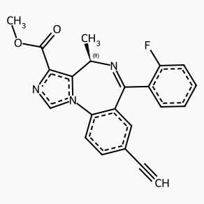 C#Cc1ccc2c(c1)C(c1ccccc1F)=N[C@H](C)c1c(C(=O)OC)ncn1-2